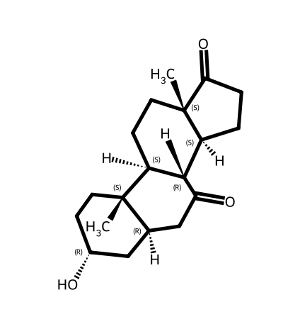 C[C@]12CC[C@@H](O)C[C@@H]1CC(=O)[C@@H]1[C@@H]2CC[C@]2(C)C(=O)CC[C@@H]12